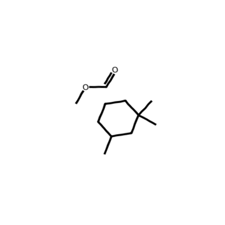 CC1CCCC(C)(C)C1.COC=O